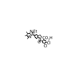 CCc1nc2c(C)c(C)c(C)nc2n1-c1ccc2c(c1)CCN2C(=O)c1cc(Cl)c(Cl)cc1C(=O)O